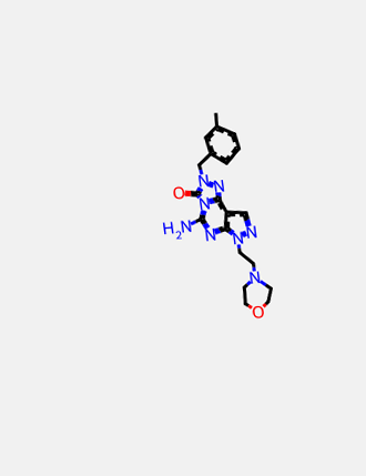 Cc1cccc(Cn2nc3c4cnn(CCN5CCOCC5)c4nc(N)n3c2=O)c1